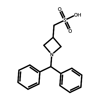 O=S(=O)(O)CC1CN(C(c2ccccc2)c2ccccc2)C1